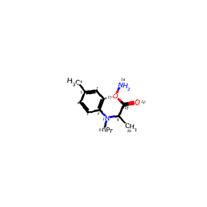 CCCN(c1ccc(C)cc1)C(C)C(=O)ON